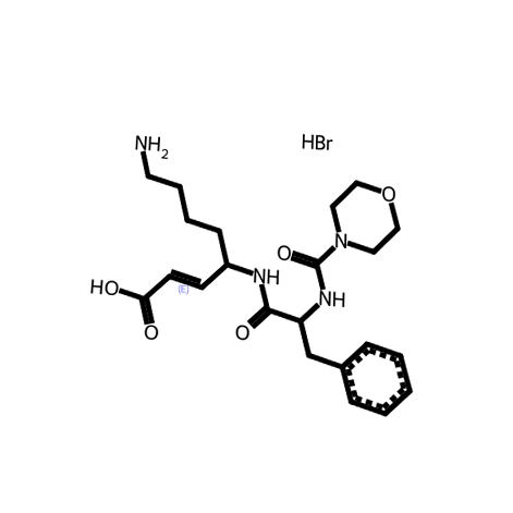 Br.NCCCCC(/C=C/C(=O)O)NC(=O)C(Cc1ccccc1)NC(=O)N1CCOCC1